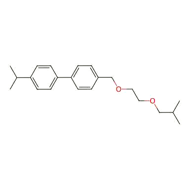 CC(C)COCCOCc1ccc(-c2ccc(C(C)C)cc2)cc1